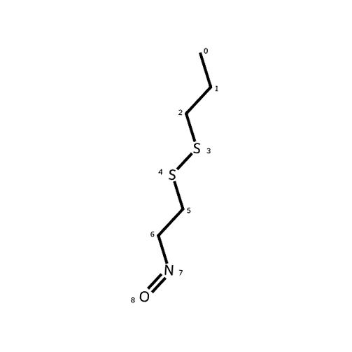 CCCSSCCN=O